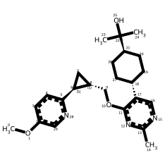 COc1ccc([C@H]2C[C@@H]2COc2nc(C)ncc2[C@H]2CC[C@H](C(C)(C)O)CC2)nc1